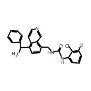 CC(c1ccccc1)c1ccc(CNC(=O)Nc2cccc(Cl)c2Cl)c2cnccc12